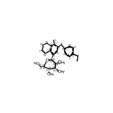 CCc1ccc(Cc2cc([C@@H]3O[C@H](CO)[C@@H](O)[C@H](O)[C@H]3O)c3c(c2C)CCCC3)cc1